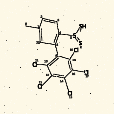 Cc1ccc(S(=S)S)c(-c2c(Cl)c(Cl)c(Cl)c(Cl)c2Cl)c1